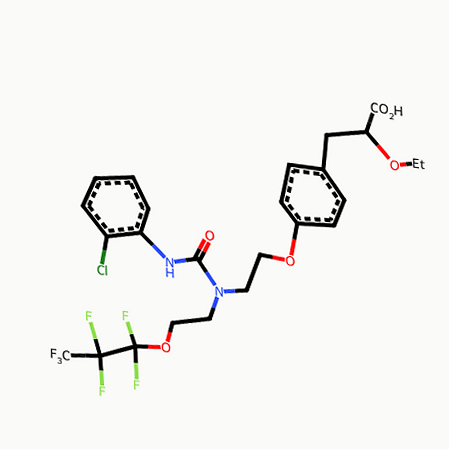 CCOC(Cc1ccc(OCCN(CCOC(F)(F)C(F)(F)C(F)(F)F)C(=O)Nc2ccccc2Cl)cc1)C(=O)O